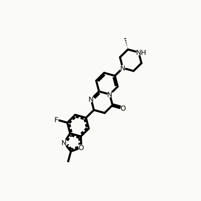 Cc1nc2c(F)cc(C3CC(=O)N4C=C(N5CCN[C@@H](C)C5)C=CC4=N3)cc2o1